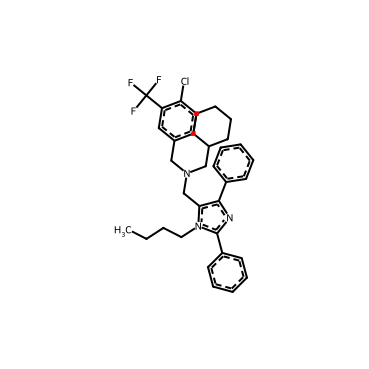 CCCCn1c(-c2ccccc2)nc(-c2ccccc2)c1CN(Cc1ccc(Cl)c(C(F)(F)F)c1)CC1CCCCC1